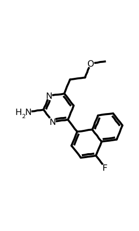 COCCc1cc(-c2ccc(F)c3ccccc23)nc(N)n1